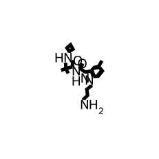 Cc1ccc2c(c1)c(C(=O)NC(C(=O)NC1CCC1)C(C)(C)C)nn2CCCCN